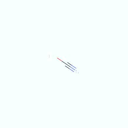 N#CO.[S]